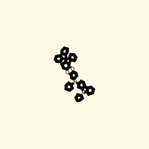 c1ccc(N(c2ccc3c(c2)Oc2ccc4c(c2O3)-c2ccccc2C4(c2ccccc2)c2ccccc2)c2ccc3c4ccccc4n(-c4ccccc4)c3c2)cc1